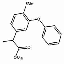 COC(=O)C(C)c1ccc(SC)c(Oc2ccccc2)c1